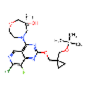 CC(C)(C)[Si](C)(C)OCC1(COc2nc(N3CCOC[C@@](C)(O)C3)c3cnc(Cl)c(F)c3n2)CC1